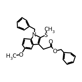 COc1ccc2c(c1)c(CC(=O)OCc1ccccc1)c(SC)n2Cc1ccccc1